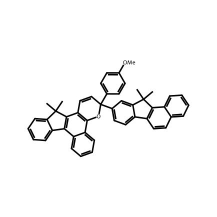 COc1ccc(C2(c3ccc4c(c3)C(C)(C)c3c-4ccc4ccccc34)C=Cc3c4c(c5ccccc5c3O2)-c2ccccc2C4(C)C)cc1